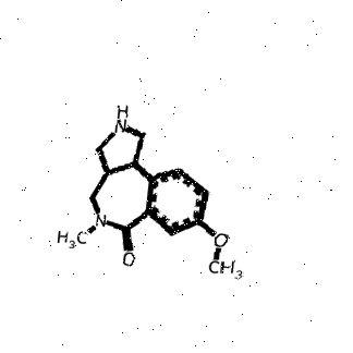 COc1ccc2c(c1)C(=O)N(C)CC1CNCC21